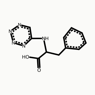 O=C(O)C(Cc1ccccc1)Nc1cnnnn1